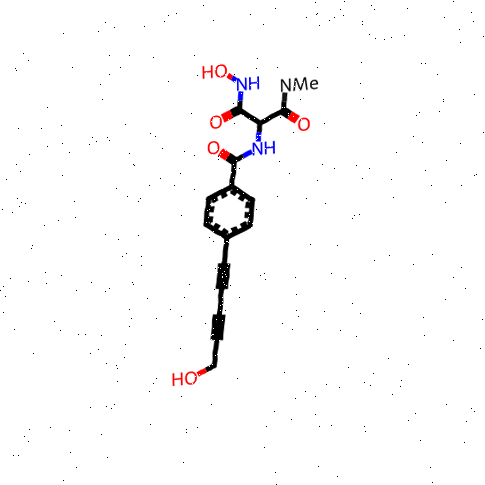 CNC(=O)C(NC(=O)c1ccc(C#CC#CCO)cc1)C(=O)NO